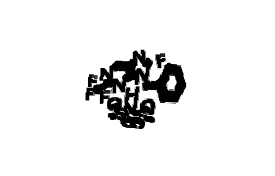 CS(=O)(=O)NS(C)(=O)=O.Fc1ccccc1Cn1cnc2cnc(C(F)(F)F)nc21